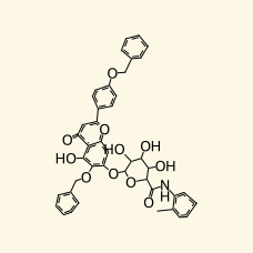 Cc1ccccc1NC(=O)C1OC(Oc2cc3oc(-c4ccc(OCc5ccccc5)cc4)cc(=O)c3c(O)c2OCc2ccccc2)C(O)C(O)C1O